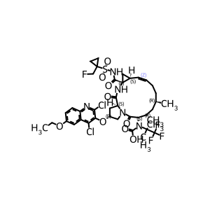 CCOc1ccc2nc(Cl)c(O[C@@H]3C[C@H]4C(=O)N[C@]5(C(=O)NS(=O)(=O)C6(CF)CC6)C[C@H]5/C=C\CC[C@@H](C)C[C@@H](C)[C@H](N(C(=O)O)C(C)(C)C(F)(F)F)C(=O)N4C3)c(Cl)c2c1